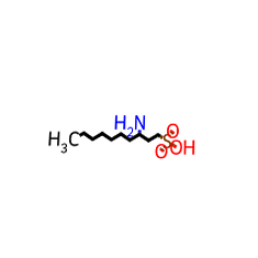 CCCCCCCC(N)CCS(=O)(=O)O